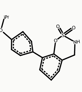 CC(C)Oc1ccc(-c2cccc3c2OS(=O)(=O)NC3)cc1